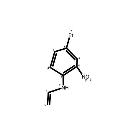 C=CNc1ccc(CC)cc1[N+](=O)[O-]